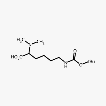 CN(C)C(CCCCNC(=O)OC(C)(C)C)C(=O)O